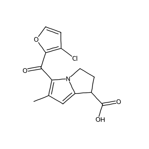 Cc1cc2n(c1C(=O)c1occc1Cl)CCC2C(=O)O